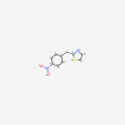 O=[N+]([O-])c1ccc(Cc2nccs2)cc1